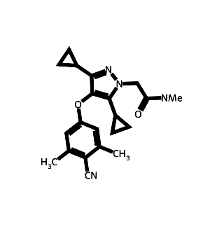 CNC(=O)Cn1nc(C2CC2)c(Oc2cc(C)c(C#N)c(C)c2)c1C1CC1